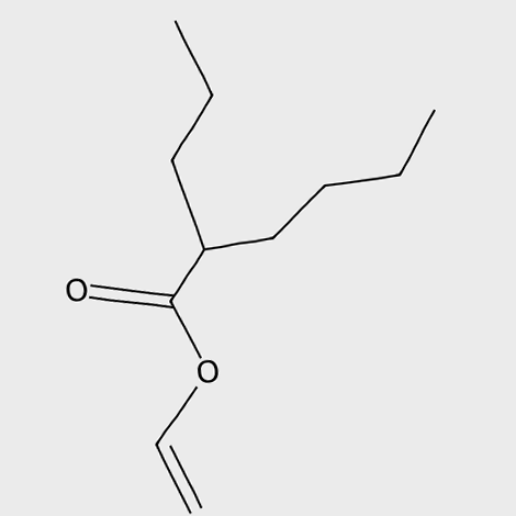 C=COC(=O)C(CCC)CCCC